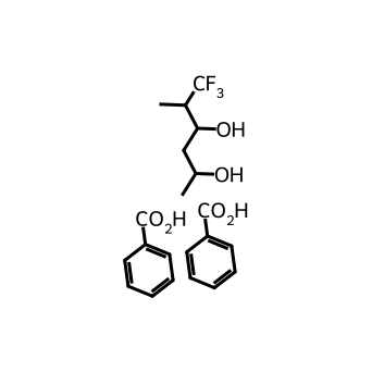 CC(O)CC(O)C(C)C(F)(F)F.O=C(O)c1ccccc1.O=C(O)c1ccccc1